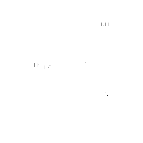 Cl.Cl.c1csc(-c2cncc(OC[C@@H]3CCCN3)c2)c1